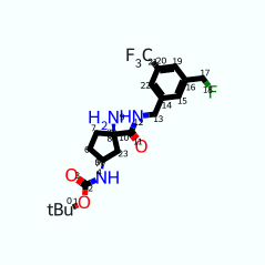 CC(C)(C)OC(=O)N[C@@H]1CC[C@](N)(C(=O)NCc2cc(CF)cc(C(F)(F)F)c2)C1